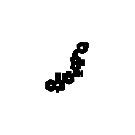 O=C(Nc1ccccc1F)c1ccc(N[C@@H]2CC3CN(CC4CCOCC4)C[C@H]3C2)nn1